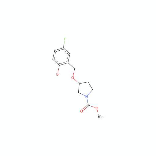 CC(C)(C)OC(=O)N1CCC(OCc2cc(F)ccc2Br)C1